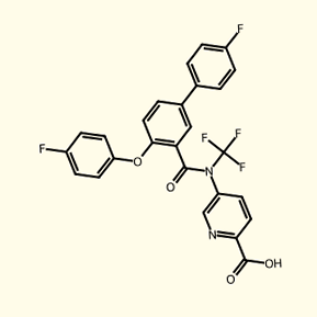 O=C(O)c1ccc(N(C(=O)c2cc(-c3ccc(F)cc3)ccc2Oc2ccc(F)cc2)C(F)(F)F)cn1